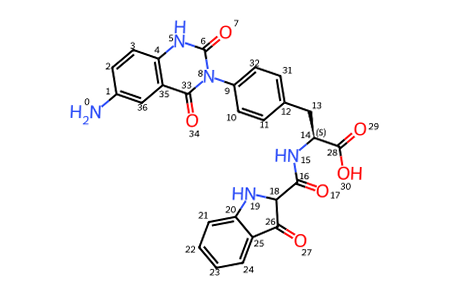 Nc1ccc2[nH]c(=O)n(-c3ccc(C[C@H](NC(=O)C4Nc5ccccc5C4=O)C(=O)O)cc3)c(=O)c2c1